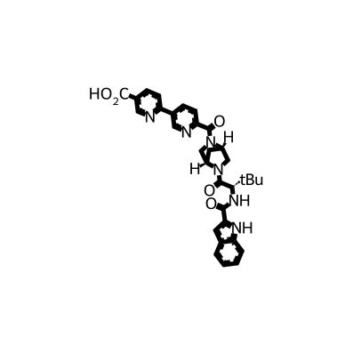 CC(C)(C)[C@H](NC(=O)c1cc2ccccc2[nH]1)C(=O)N1C[C@@H]2C[C@H]1CN2C(=O)c1ccc(-c2ccc(C(=O)O)cn2)cn1